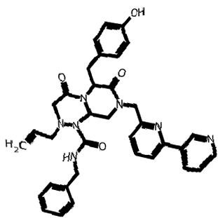 C=CCN1CC(=O)N2C(Cc3ccc(O)cc3)C(=O)N(Cc3cccc(-c4cccnc4)n3)CC2N1C(=O)NCc1ccccc1